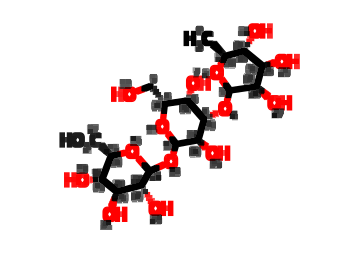 C[C@@H]1OC(O[C@H]2[C@@H](O)[C@@H](CO)OC(OC3O[C@H](C(=O)O)[C@@H](O)[C@H](O)[C@H]3O)[C@@H]2O)[C@H](O)[C@H](O)[C@H]1O